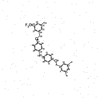 Cc1cc(C)cc(COc2ccc([I+]c3ccc(OCc4cc(C)cc(C(F)(F)F)c4)cc3)cc2)c1